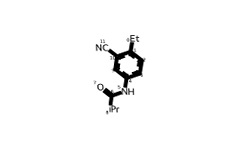 CCc1ccc(NC(=O)C(C)C)cc1C#N